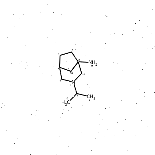 CC(C)N1CC2CCC(N)(C2)C1